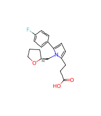 O=C(O)CCc1ccc(-c2ccc(F)cc2)n1C[C@@H]1CCCO1